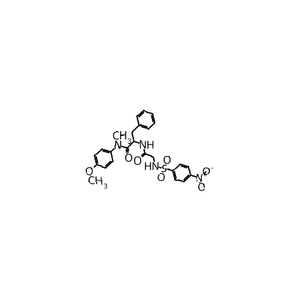 COc1ccc(N(C)C(=O)C(Cc2ccccc2)NC(=O)CNS(=O)(=O)c2ccc([N+](=O)[O-])cc2)cc1